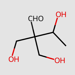 CC(O)C(C=O)(CO)CO